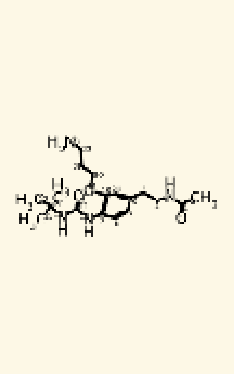 CC(=O)NCCc1ccc(NC(=O)NC(C)(C)C)c(OCCCN)c1